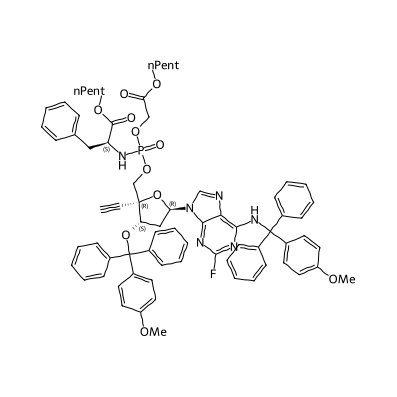 C#C[C@]1(COP(=O)(N[C@@H](Cc2ccccc2)C(=O)OCCCCC)OCC(=O)OCCCCC)O[C@@H](n2cnc3c(NC(c4ccccc4)(c4ccccc4)c4ccc(OC)cc4)nc(F)nc32)C[C@@H]1OC(c1ccccc1)(c1ccccc1)c1ccc(OC)cc1